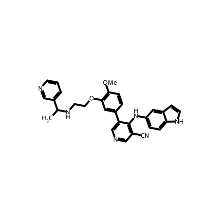 COc1ccc(-c2cncc(C#N)c2Nc2ccc3[nH]ccc3c2)cc1OCCNC(C)c1cccnc1